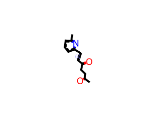 CC(=O)CCC(=O)/C=C/c1cccc(C)n1